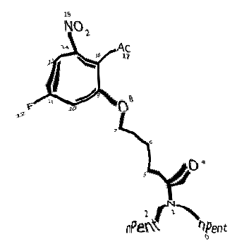 CCCCCN(CCCCC)C(=O)CCCOc1cc(F)cc([N+](=O)[O-])c1C(C)=O